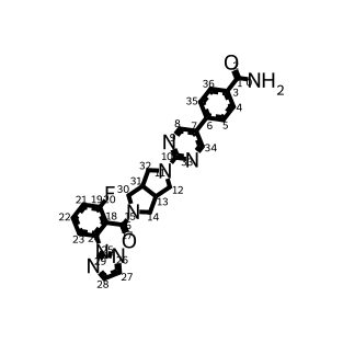 NC(=O)c1ccc(-c2cnc(N3CC4CN(C(=O)c5c(F)cccc5-n5nccn5)CC4C3)nc2)cc1